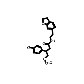 O=COCC(CC(=O)NCCc1ccc2c(c1)OCC2)c1ccc(Cl)cc1